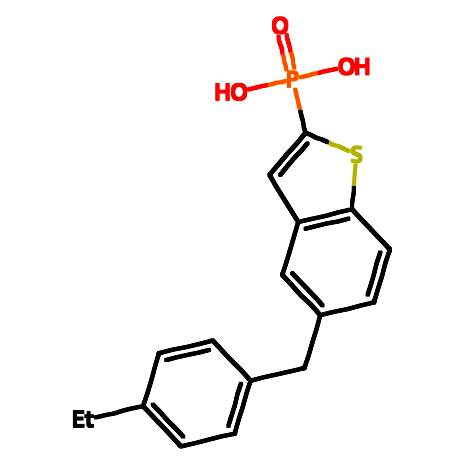 CCc1ccc(Cc2ccc3sc(P(=O)(O)O)cc3c2)cc1